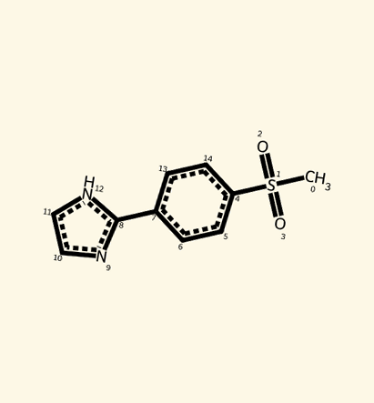 CS(=O)(=O)c1ccc(-c2ncc[nH]2)cc1